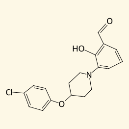 O=Cc1cccc(N2CCC(Oc3ccc(Cl)cc3)CC2)c1O